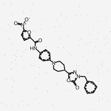 O=C(Nc1ccc(N2CCC(c3nn(Cc4ccccc4)c(=O)o3)CC2)cc1)c1ccc([N+](=O)[O-])o1